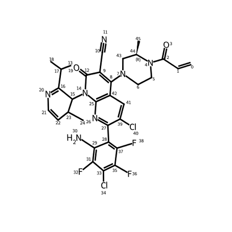 C=CC(=O)N1CCN(c2c(C#N)c(=O)n(C3C(C(C)C)=NC=CC3C)c3nc(-c4c(N)c(F)c(Cl)c(F)c4F)c(Cl)cc23)C[C@H]1C